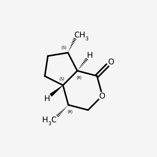 C[C@H]1COC(=O)[C@H]2[C@H]1CC[C@@H]2C